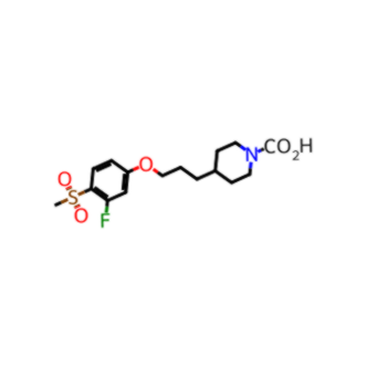 CS(=O)(=O)c1ccc(OCCCC2CCN(C(=O)O)CC2)cc1F